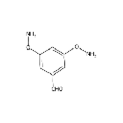 NOc1cc(C=O)cc(ON)c1